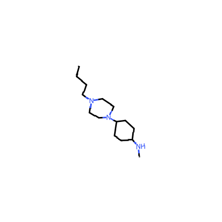 CCCCN1CCN(C2CCC(NC)CC2)CC1